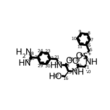 C[C@@H](N[S+]([O-])Cc1ccccc1)C(=O)N[C@@H](CO)C(=O)NCc1ccc(C(=N)N)cc1